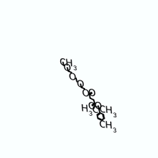 CCOCCOCCOCCOC(=O)CCC(=O)OC(C)(C)c1ccc(C)cc1